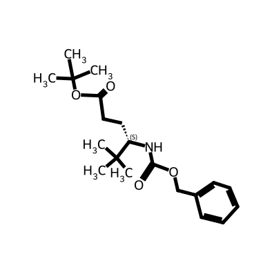 CC(C)(C)OC(=O)CC[C@H](NC(=O)OCc1ccccc1)C(C)(C)C